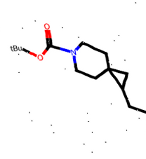 CC(C)(C)OC(=O)N1CCC2(CC1)CC2CCO